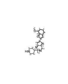 COc1cccc2cc(C3=CC4=NC(C)(C5CCNCC5)N=CC4=N3)oc12